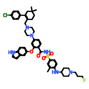 Cc1cc(S(=O)(=O)NC(=O)c2ccc(N3CCN(CC4=C(c5ccc(Cl)cc5)CC(C)(C)CC4)CC3)cc2Oc2ccc3[nH]ccc3c2)ccc1NC1CCN(CCCF)CC1